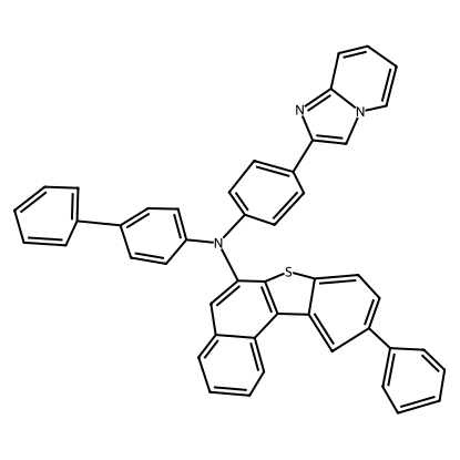 c1ccc(-c2ccc(N(c3ccc(-c4cn5ccccc5n4)cc3)c3cc4ccccc4c4c3sc3ccc(-c5ccccc5)cc34)cc2)cc1